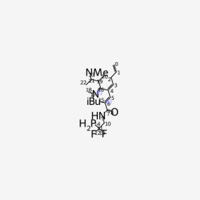 C=CCC=C(/C=C(/C(=O)NCC(F)(F)P)C(C)CC)/C(=N/C)C(C)C(C)NC